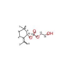 C=C(C)C1CCC(C)(C)CC1OC(=O)OCCO